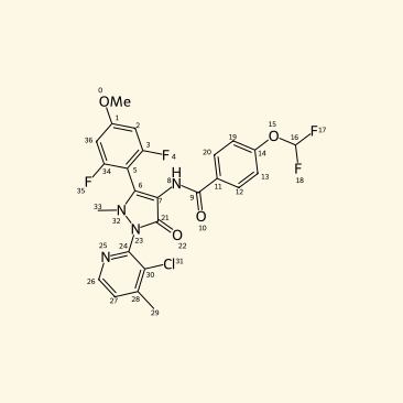 COc1cc(F)c(-c2c(NC(=O)c3ccc(OC(F)F)cc3)c(=O)n(-c3nccc(C)c3Cl)n2C)c(F)c1